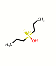 CCC[SH](O)(=S)CCC